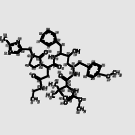 CCNC(=O)CC(C(=O)NC(Cc1ccccc1)C(O)CN(Cc1ccc(OC)cc1)NC(=O)C(NC(=O)OC)C(C)(C)C)N1CCN(Cc2csc(C)n2)C1=O